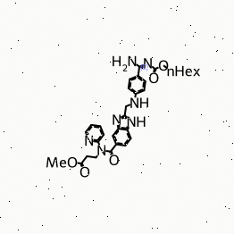 CCCCCCOC(=O)/N=C(/N)c1ccc(NCc2nc3cc(C(=O)N(CCC(=O)OC)c4ccccn4)ccc3[nH]2)cc1